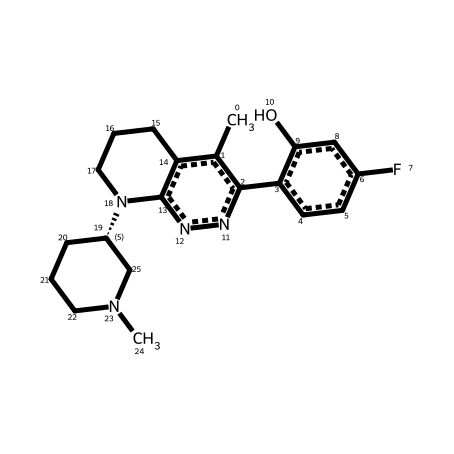 Cc1c(-c2ccc(F)cc2O)nnc2c1CCCN2[C@H]1CCCN(C)C1